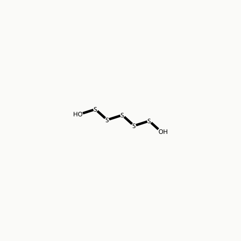 OSSSSSO